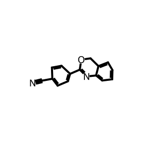 N#Cc1ccc(C2=Nc3ccccc3CO2)cc1